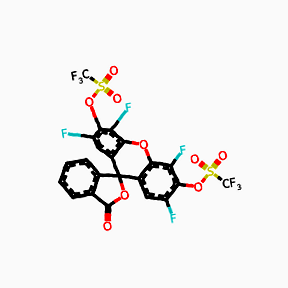 O=C1OC2(c3ccccc31)c1cc(F)c(OS(=O)(=O)C(F)(F)F)c(F)c1Oc1c2cc(F)c(OS(=O)(=O)C(F)(F)F)c1F